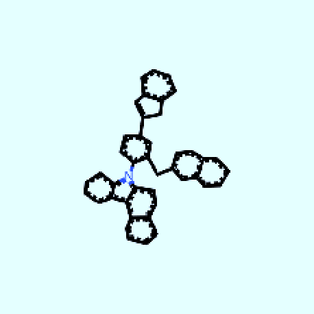 C1=C(c2ccc(-n3c4ccccc4c4c5ccccc5ccc43)c(Cc3ccc4ccccc4c3)c2)Cc2ccccc21